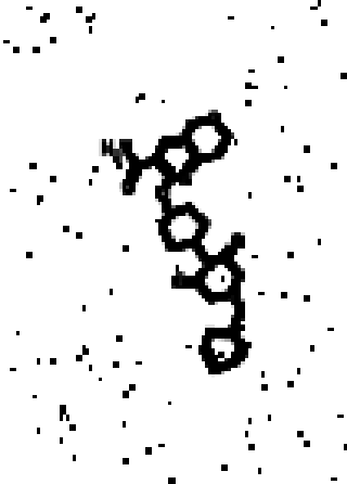 NC(=O)c1cc2c(nc1OC1CCC(N3C(=O)CN(Cc4ccccc4)CC3=O)CC1)CCOC2